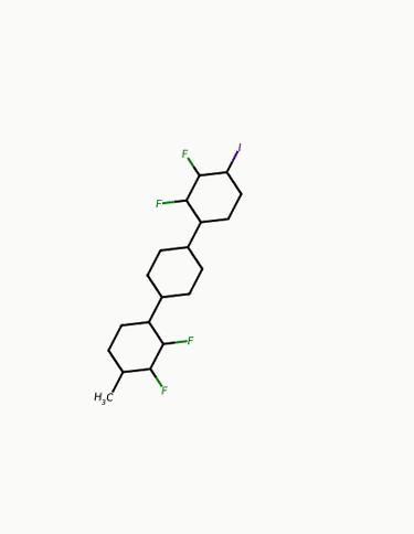 CC1CCC(C2CCC(C3CCC(I)C(F)C3F)CC2)C(F)C1F